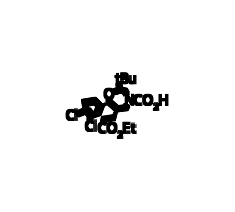 CCOC(=O)CC[C@@H]1CN(C(=O)O)CC(C(C)(C)C)O[C@H]1c1ccc(Cl)c(Cl)c1